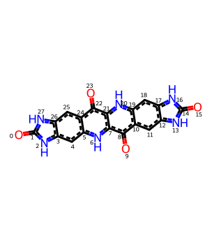 O=c1[nH]c2cc3[nH]c4c(=O)c5cc6[nH]c(=O)[nH]c6cc5[nH]c4c(=O)c3cc2[nH]1